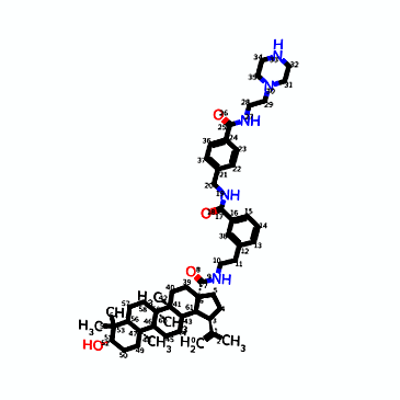 C=C(C)[C@@H]1CC[C@]2(C(=O)NCCc3cccc(C(=O)NCc4ccc(C(=O)NCCN5CCNCC5)cc4)c3)CC[C@]3(C)C(CCC4[C@@]5(C)CC[C@H](O)C(C)(C)C5CC[C@]43C)C12